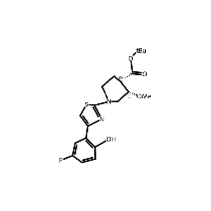 CO[C@@H]1CN(c2nc(-c3cc(F)ccc3O)cs2)CC[C@@H]1C(=O)OC(C)(C)C